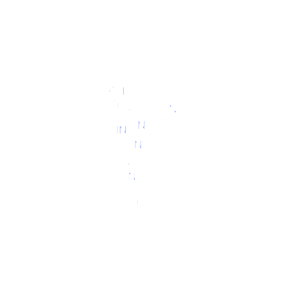 COc1ccc(-c2nccs2)nc1Nc1ccc(N2CCOCC2)cn1